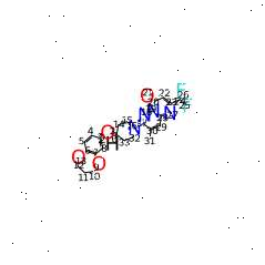 [2H]C1(Oc2ccc3c(c2)OCCCO3)CCN(c2nn3c(=O)cc(C(F)F)nc3cc2C)CC1